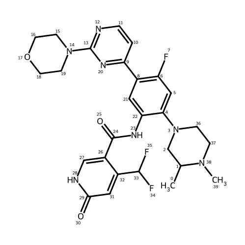 CC1CN(c2cc(F)c(-c3ccnc(N4CCOCC4)n3)cc2NC(=O)c2c[nH]c(=O)cc2C(F)F)CCN1C